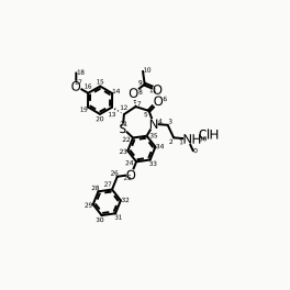 CNCCN1C(=O)[C@@H](OC(C)=O)[C@@H](c2ccc(OC)cc2)Sc2cc(OCc3ccccc3)ccc21.Cl